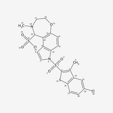 Cc1c(S(=O)(=O)n2ccc3c4c(ccc32)OCCN(C)C4S(=O)(=O)Cl)sc2ccc(Cl)cc12